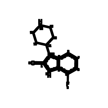 O=c1[nH]c2c(F)cccc2n1C1CCNCC1